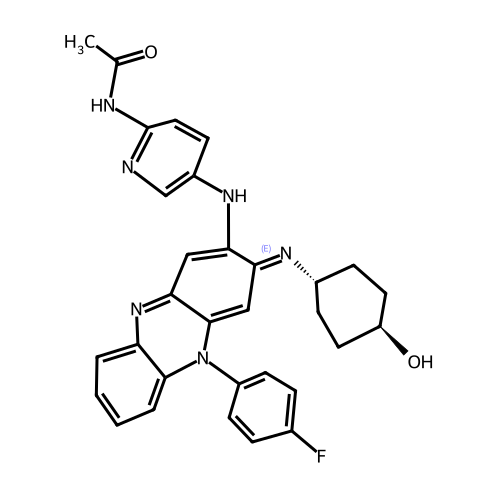 CC(=O)Nc1ccc(Nc2cc3nc4ccccc4n(-c4ccc(F)cc4)c-3c/c2=N\[C@H]2CC[C@H](O)CC2)cn1